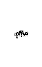 C#C[C@@]12OC[C@@]1(N1C=CC(=O)NC1=C)O[C@H](CC)C2OC(=O)c1ccccc1